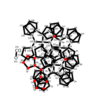 C1CCN(N(N2CCCC2)P(=N[P+](N=P(N(N2CCCC2)N2CCCC2)(N(N2CCCC2)N2CCCC2)N(N2CCCC2)N2CCCC2)(N=P(N(N2CCCC2)N2CCCC2)(N(N2CCCC2)N2CCCC2)N(N2CCCC2)N2CCCC2)N=P(N(N2CCCC2)N2CCCC2)(N(N2CCCC2)N2CCCC2)N(N2CCCC2)N2CCCC2)(N(N2CCCC2)N2CCCC2)N(N2CCCC2)N2CCCC2)C1.O=C([O-])O